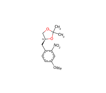 COc1ccc(C[C@H]2COC(C)(C)O2)c([N+](=O)[O-])c1